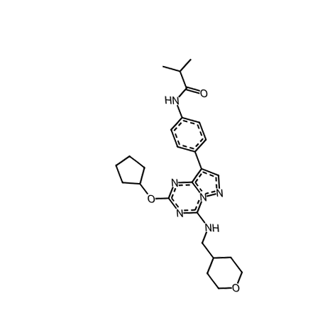 CC(C)C(=O)Nc1ccc(-c2cnn3c(NCC4CCOCC4)nc(OC4CCCC4)nc23)cc1